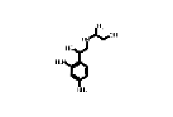 CC(CO)NCC(O)c1ccc(N)cc1N